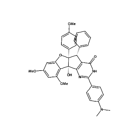 COc1ccc([C@@]23Oc4cc(OC)cc(OC)c4[C@]2(O)c2nc(-c4ccc(N(C)C)cc4)[nH]c(=O)c2[C@H]3c2ccccc2)cc1